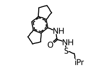 CC(C)CSNC(=O)Nc1c2c(cc3c1CCC3)CCC2